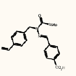 C=Cc1ccc(CN(N=Cc2ccc(C(=O)O)cc2)C(=O)NC)cc1